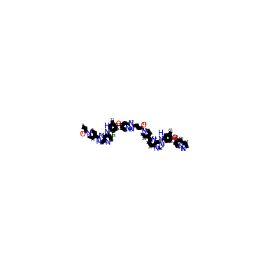 C=CC(=O)N1CC=C(c2ncc3ncc(F)c(Nc4ccc(Oc5ccn6nc(C=CC(=O)N7CC=C(c8ccc9ncnc(Nc%10ccc(Oc%11ccn%12nccc%12c%11)c(C)c%10)c9n8)CC7)nc6c5)c(C)c4)c3n2)CC1